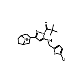 CC(C)(C)C(=O)n1nc(C2CC3CCC(C2)N3)cc1NCc1ccc(Cl)s1